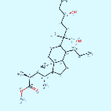 CC[C@H](O)CCC(C)(C)C1CC[C@@]2(C)C(CCC2[C@H](C)C[C@H](C)C(=O)OC)C1[C@H](O)CC